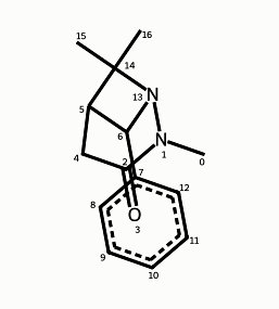 CN1C(=O)CC2C(c3ccccc3)N1C2(C)C